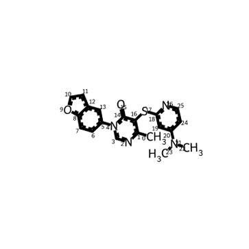 Cc1ncn(-c2ccc3occc3c2)c(=O)c1Sc1cc(N(C)C)ccn1